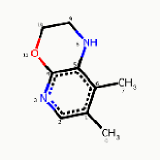 Cc1cnc2c(c1C)NCCO2